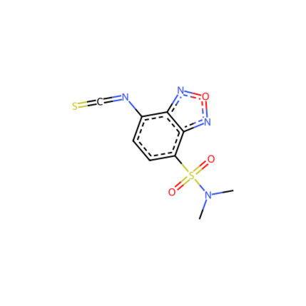 CN(C)S(=O)(=O)c1ccc(N=C=S)c2nonc12